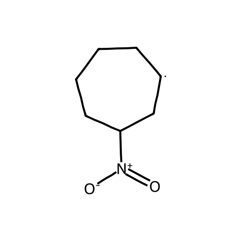 O=[N+]([O-])C1C[CH]CCCC1